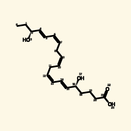 CC[C@@H](O)/C=C/C=C\C/C=C\C/C=C\C=C\[C@H](O)CCCC(=O)O